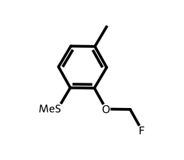 CSc1ccc(C)cc1OCF